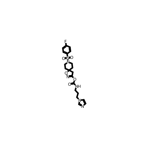 O=C(NCCCn1ccnc1)OC1=NOC2(CCN(S(=O)(=O)c3ccc(F)cc3)CC2)C1